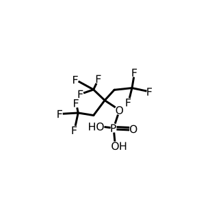 O=P(O)(O)OC(CC(F)(F)F)(CC(F)(F)F)C(F)(F)F